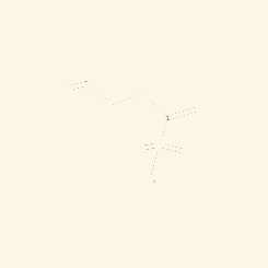 C=CCOC(=C)S(=O)(=O)O